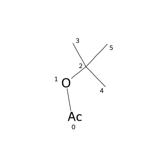 [C]C(=O)OC(C)(C)C